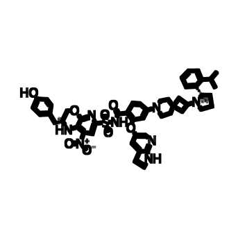 CC(C)c1ccccc1[C@@H]1CCCN1C1CC2(CCN(c3ccc(C(=O)NS(=O)(=O)c4cc([N+](=O)[O-])c5c(n4)OC[C@H](Cc4ccc(O)cc4)N5)c(Oc4cnc5[nH]ccc5c4)c3)CC2)C1